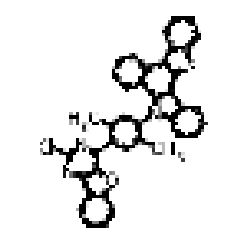 Cc1cc(-n2c3ccccc3c3c4sc5ccccc5c4c4ccccc4c32)c(C)cc1-c1nc(Cl)nc2c1oc1ccccc12